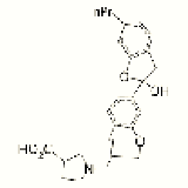 CCCc1ccc2c(c1)OC(O)(c1ccc3c(c1)OCC(CN1CCC(C(=O)O)C1)=C3)C2